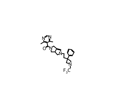 Cc1ncnc(C)c1C(=O)N1CC2=CN(CCC3(c4ccccc4)CN(CC(F)(F)F)C3)CC2C1